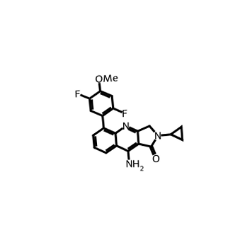 COc1cc(F)c(-c2cccc3c(N)c4c(nc23)CN(C2CC2)C4=O)cc1F